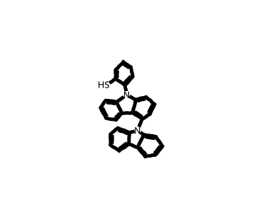 Sc1ccccc1-n1c2ccccc2c2c(-n3c4ccccc4c4ccccc43)cccc21